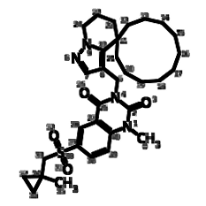 Cn1c(=O)n(Cc2cnn3c2C2(CCCCCCCCCC2)CCC3)c(=O)c2cc(S(=O)(=O)CC3(C)CC3)ccc21